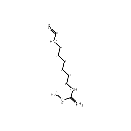 C=C(NCCCCCCNC=O)OC